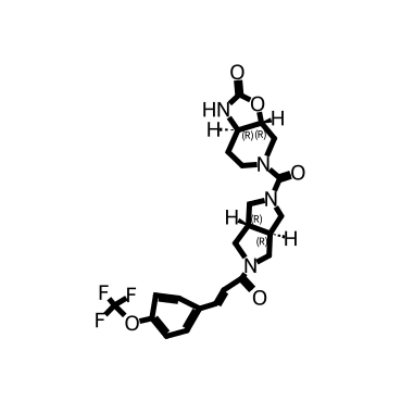 O=C1N[C@@H]2CCN(C(=O)N3C[C@H]4CN(C(=O)C=Cc5ccc(OC(F)(F)F)cc5)C[C@@H]4C3)C[C@H]2O1